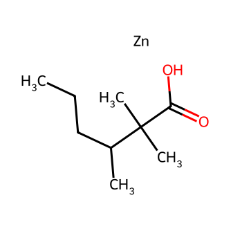 CCCC(C)C(C)(C)C(=O)O.[Zn]